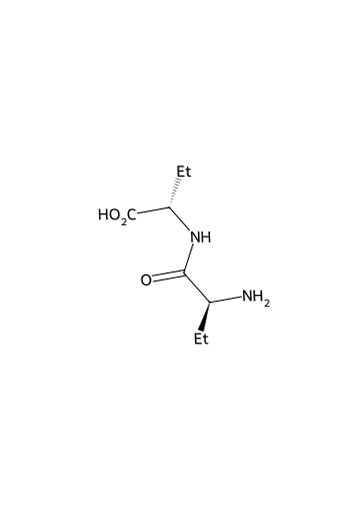 CC[C@H](NC(=O)[C@@H](N)CC)C(=O)O